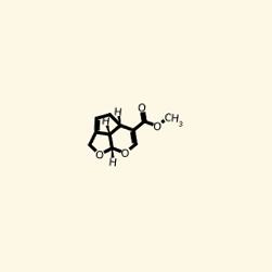 COC(=O)C1=CO[C@@H]2OCC3=CC[C@H]1[C@@H]32